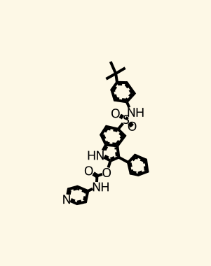 CC(C)(C)c1ccc(NS(=O)(=O)c2ccc3[nH]c(OC(=O)Nc4ccncc4)c(-c4ccccc4)c3c2)cc1